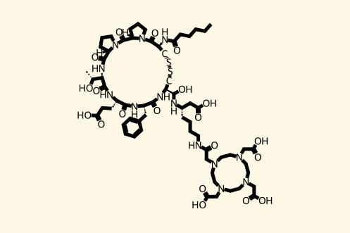 CCCCCC(=O)N[C@H]1CSSC[C@@H](C(O)N[C@@H](CCCCNC(=O)CN2CCN(CC(=O)O)CCN(CC(=O)O)CCN(CC(=O)O)CC2)CC(=O)O)NC(=O)[C@H](Cc2ccccc2)NC(=O)[C@H](CCC(=O)O)NC(=O)[C@H]([C@@H](C)O)NC(=O)[C@@H]2CCCN2C(=O)[C@@H]2CCCN2C1=O